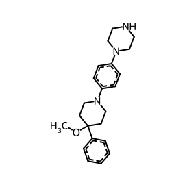 COC1(c2ccccc2)CCN(c2ccc(N3CCNCC3)cc2)CC1